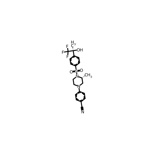 C[C@@H]1CN(c2ccc(C#N)cc2)CCN1S(=O)(=O)c1ccc([C@](C)(O)C(F)(F)F)cc1